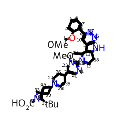 COCOc1ccccc1-c1cc2c3c([nH]c2nn1)CCN(c1ncc(C2CCN(C4CC5(C4)CN(C(=O)O)C5C(C)(C)C)CC2)cn1)C3COC